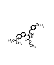 CCOC(=O)c1nnn(Cc2ccc(OC)cc2)c1-c1ccc2c(c1)CN(C(C)C)CC2